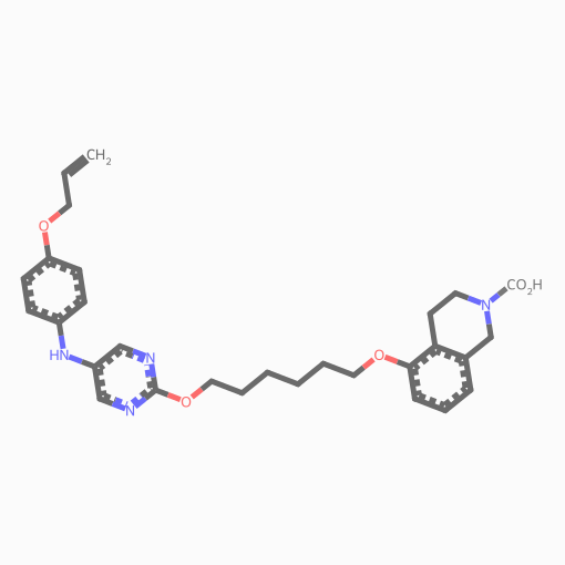 C=CCOc1ccc(Nc2cnc(OCCCCCCOc3cccc4c3CCN(C(=O)O)C4)nc2)cc1